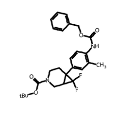 Cc1cc(C23CCN(C(=O)OC(C)(C)C)CC2C3(F)F)ccc1NC(=O)OCc1ccccc1